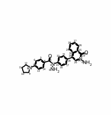 NN(C(=O)c1ccc(N2CCCC2)cc1)c1ccc(-c2cn(N)c(=O)c3ccccc23)cc1